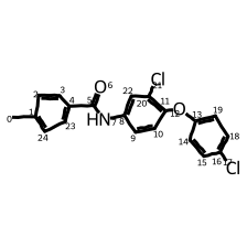 Cc1ccc(C(=O)Nc2ccc(Oc3ccc(Cl)cc3)c(Cl)c2)cc1